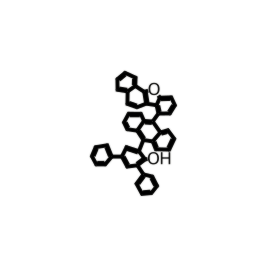 Oc1c(-c2ccccc2)cc(-c2ccccc2)cc1-c1c2ccccc2c(-c2cccc3oc4c5ccccc5ccc4c23)c2ccccc12